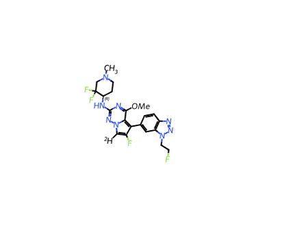 [2H]c1c(F)c(-c2ccc3nnn(CCF)c3c2)c2c(OC)nc(N[C@@H]3CCN(C)CC3(F)F)nn12